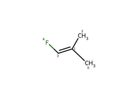 CC(C)=CF